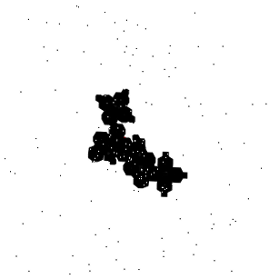 CC1=CCC([Si](c2ccc(C)cc2)(c2ccc(C)cc2)c2cccc(-c3ccc(C#N)c(N(c4cc(C(C)C)c5ccc6c(N(c7cc(-c8cccc([Si](c9ccc(C)cc9)(c9ccc(C)cc9)c9ccc(C)cc9)c8)ccc7C#N)c7cccc8c7oc7ccccc78)cc(C(C)C)c7ccc4c5c76)c4cccc5c4oc4ccccc45)c3)c2)C=C1